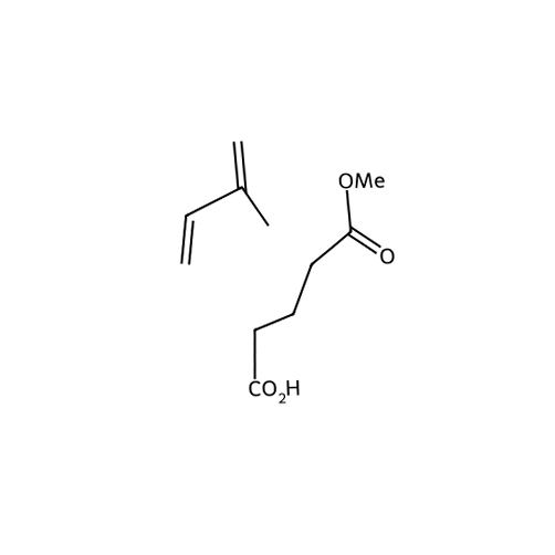 C=CC(=C)C.COC(=O)CCCC(=O)O